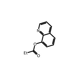 CCC(=O)Oc1cccc2cccnc12